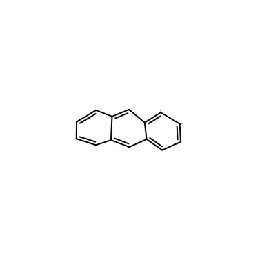 [c]1[c]cc2cc3ccccc3cc2[c]1